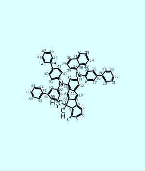 CC1(C)c2ccccc2-c2cc3cc(N(c4ccc(-c5ccccc5)cc4)c4cccc5ccccc45)cc(N(c4ccc(-c5ccccc5)cc4)c4cccc(-c5ccccc5)c4)c3cc21